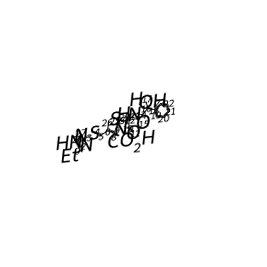 CCc1nc(SCC2=C(C(=O)O)N3C(=O)C(NC(=O)C(O)c4ccccc4)[C@@H]3SC2)n[nH]1